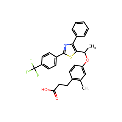 Cc1cc(OC(C)c2sc(-c3ccc(C(F)(F)F)cc3)nc2-c2ccccc2)ccc1CCC(=O)O